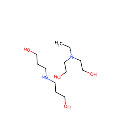 CCN(CCO)CCO.OCCCNCCCO